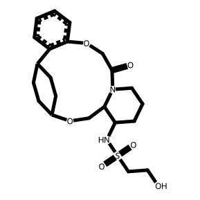 O=C1COc2ccccc2C2CCC(CC2)OCC2C(NS(=O)(=O)CCO)CCCN12